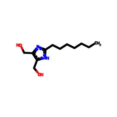 CCCCCCCc1nc(CO)c(CO)[nH]1